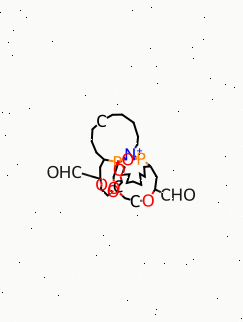 O=CC1CC2CCCCCCCCCP34=[N+](CCCCCCCCCC3CC(C=O)OCCOCCO4)P2OCCOCCO1